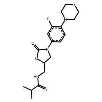 CC(C)C(=S)NCC1CN(c2ccc(N3CCSCC3)c(F)c2)C(=O)O1